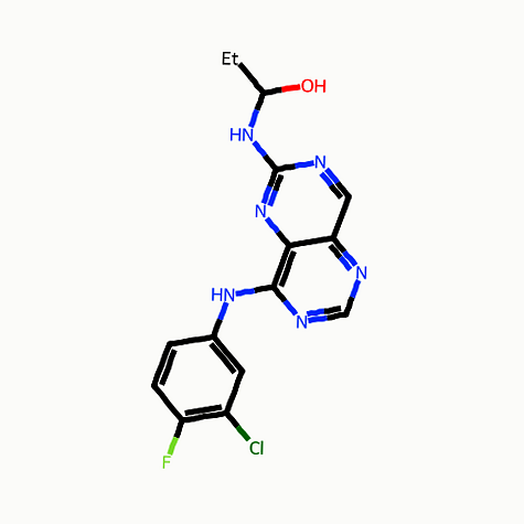 CCC(O)Nc1ncc2ncnc(Nc3ccc(F)c(Cl)c3)c2n1